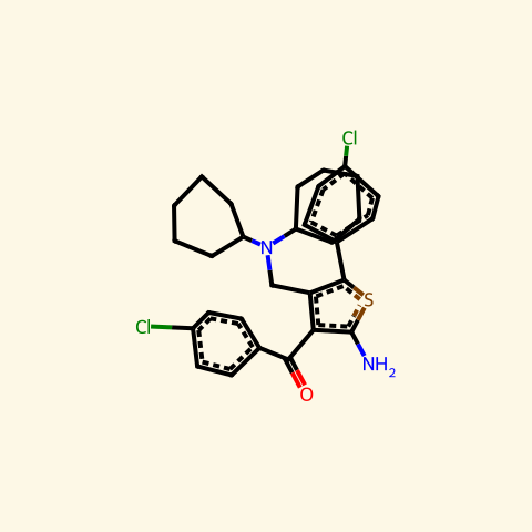 Nc1sc(-c2ccc(Cl)cc2)c(CN(C2CCCCC2)C2CCCCC2)c1C(=O)c1ccc(Cl)cc1